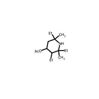 [CH2]C(=O)OC1CC(C)(CC)NC(C)(CC)C1CC